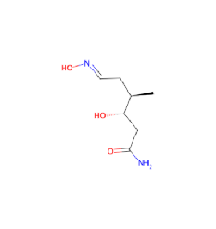 C[C@H](C/C=N/O)[C@@H](O)CC(N)=O